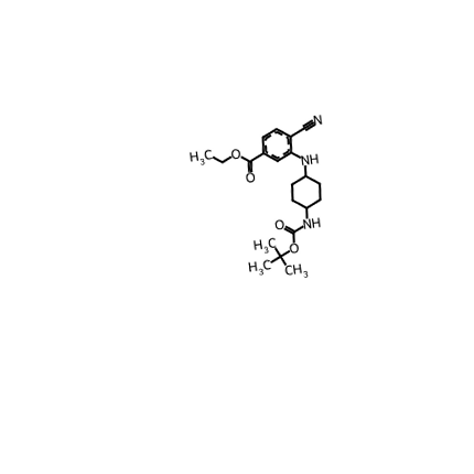 CCOC(=O)c1ccc(C#N)c(NC2CCC(NC(=O)OC(C)(C)C)CC2)c1